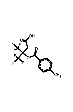 Cc1ccc(C(=O)OC(CC(=O)O)(C(F)(F)F)C(F)(F)F)cc1